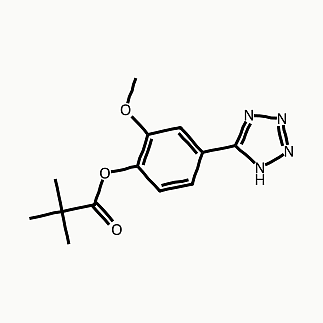 COc1cc(-c2nnn[nH]2)ccc1OC(=O)C(C)(C)C